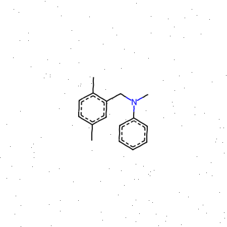 Cc1ccc(C)c(CN(C)c2ccccc2)c1